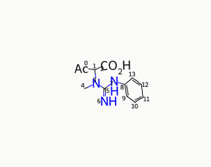 CC(=O)C(C(=O)O)N(C)C(=N)Nc1ccccc1